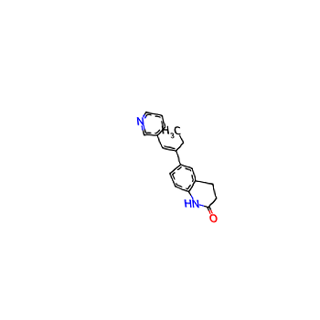 CCC(=Cc1cccnc1)c1ccc2c(c1)CCC(=O)N2